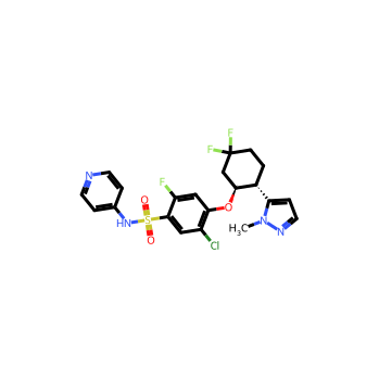 Cn1nccc1[C@H]1CCC(F)(F)C[C@@H]1Oc1cc(F)c(S(=O)(=O)Nc2ccncc2)cc1Cl